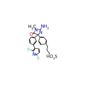 CN1C(=O)C(c2ccc(CCCS(=O)(=O)O)cc2)(c2cccc(-c3ccc(F)nc3F)c2)N=C1N